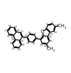 Cc1ccc2oc3c(-c4ccc(-c5cc6ccccc6c6ccccc56)cc4)cc(C)cc3c2c1